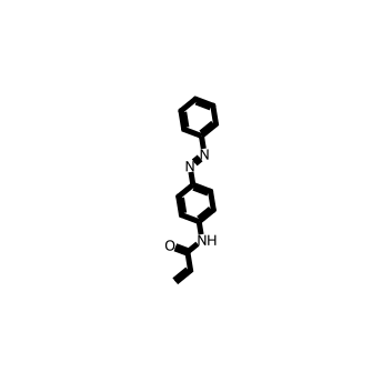 C=CC(=O)Nc1ccc(N=Nc2ccccc2)cc1